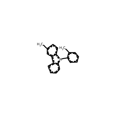 Cc1ccc2c(c1)c1ccccc1n2-c1ccccc1C